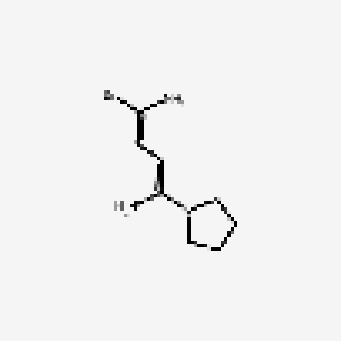 N/C(Br)=C\C=C(/N)N1CCCC1